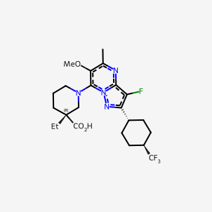 CC[C@@]1(C(=O)O)CCCN(c2c(OC)c(C)nc3c(F)c([C@H]4CC[C@H](C(F)(F)F)CC4)nn23)C1